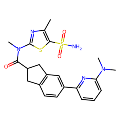 Cc1nc(N(C)C(=O)C2Cc3ccc(-c4cccc(N(C)C)n4)cc3C2)sc1S(N)(=O)=O